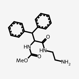 COC(=O)NC(C(=O)NCCN)C(c1ccccc1)c1ccccc1